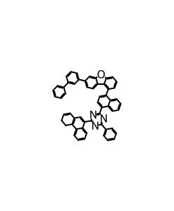 C1=Cc2cc(-c3nc(-c4ccccc4)nc(-c4ccc(-c5cccc6oc7cc(-c8cccc(-c9ccccc9)c8)ccc7c56)c5ccccc45)n3)c3ccccc3c2CC1